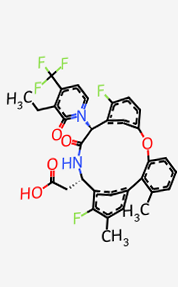 CCc1c(C(F)(F)F)ccn([C@@H]2C(=O)N[C@@H](CC(=O)O)c3cc(cc(C)c3F)-c3c(C)cccc3Oc3ccc(F)c2c3)c1=O